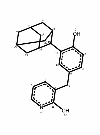 Oc1ccc(Cc2cccnc2O)cc1C1C2CC3CC(C2)CC1C3